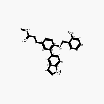 COC(=O)CCc1ccc(OCc2ccccc2Br)c(-c2ccc3[nH]ccc3c2)c1